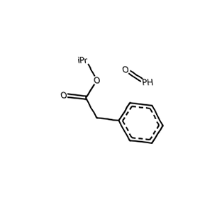 CC(C)OC(=O)Cc1ccccc1.O=P